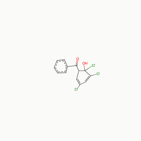 O=C(c1ccccc1)C1C=C(Cl)C=C(Cl)C1(O)Cl